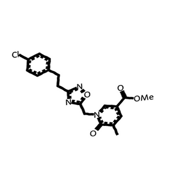 COC(=O)c1cc(C)c(=O)n(Cc2nc(CCc3ccc(Cl)cc3)no2)c1